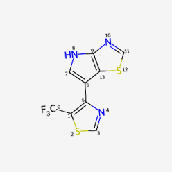 FC(F)(F)c1scnc1-c1c[nH]c2ncsc12